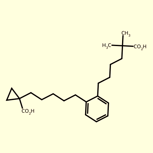 CC(C)(CCCCc1ccccc1CCCCCC1(C(=O)O)CC1)C(=O)O